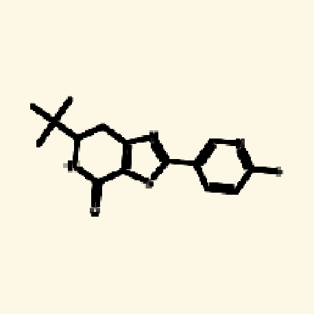 CC(C)(C)C1Cc2nc(-c3ccc(F)nc3)sc2C(=O)N1